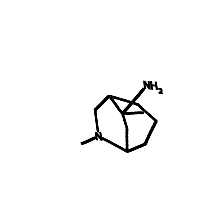 CN1CC2CCCC1CC2(C)N